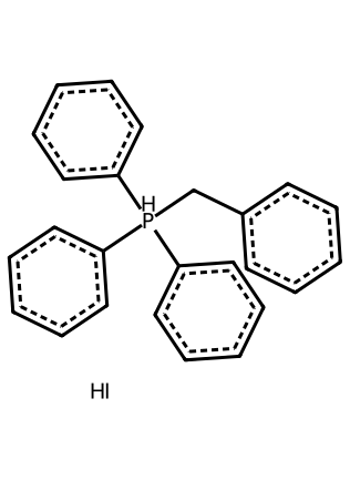 I.c1ccc(C[PH](c2ccccc2)(c2ccccc2)c2ccccc2)cc1